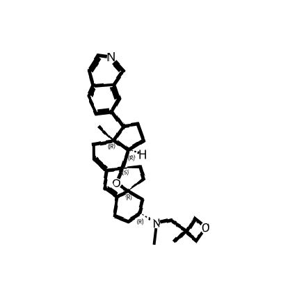 CN(CC1(C)COC1)[C@@H]1CCC2=CC3=CC[C@]4(C)C(c5ccc6ccncc6c5)CC[C@H]4[C@@]34CC[C@]2(C1)O4